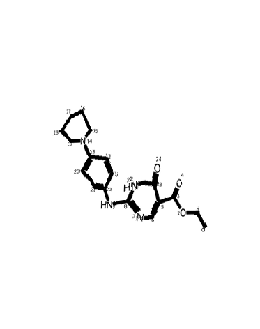 CCOC(=O)c1cnc(Nc2ccc(N3CCCCC3)cc2)[nH]c1=O